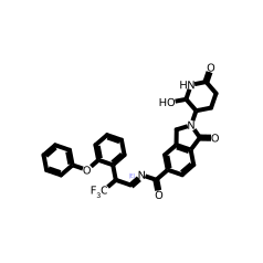 O=C1CCC(N2Cc3cc(C(=O)/N=C/C(c4ccccc4Oc4ccccc4)C(F)(F)F)ccc3C2=O)C(O)N1